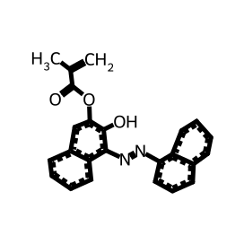 C=C(C)C(=O)Oc1cc2ccccc2c(N=Nc2cccc3ccccc23)c1O